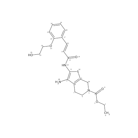 CCOC(=O)N1CCc2c(sc(NC(=O)/C=C/c3ccccc3OCCO)c2N)C1